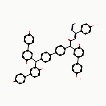 C/C=C\C(=C/C(=O)C(c1ccc(-c2ccc(C(c3cc(-c4ccc(O)cc4)ccc3O)c3cc(-c4ccc(O)cc4)ccc3O)cc2)cc1)c1cc(-c2ccc(O)cc2)ccc1O)c1ccc(O)cc1